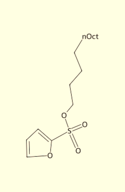 CCCCCCCCCCCCOS(=O)(=O)c1ccco1